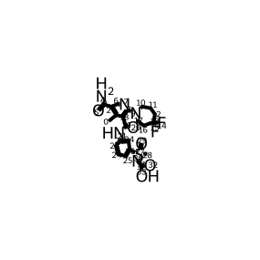 Cc1c(C(N)=O)cnc(N2CCCC(F)(F)CC2)c1C(=O)Nc1cccc(S(C)(=O)=NC(=O)O)c1